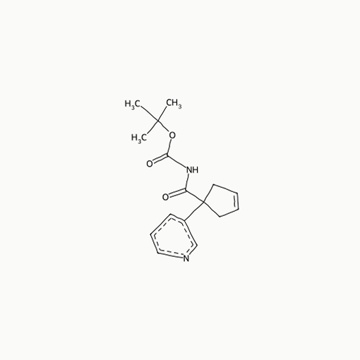 CC(C)(C)OC(=O)NC(=O)C1(c2cccnc2)CC=CC1